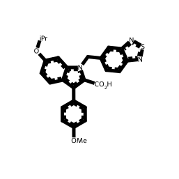 COc1ccc(-c2c(C(=O)O)n(Cc3ccc4nsnc4c3)c3cc(OC(C)C)ccc23)cc1